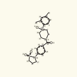 Cc1ccc([N+]2([O-])CCN(C(=O)c3ccc(N4CCCS4(=O)=O)cc3)CC2)c(C)c1